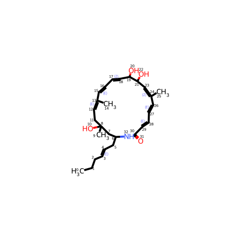 CCC/C=C/CC1CC(C)(O)C/C=C(C)/C=C/C=C\C(O)C(O)\C=C(C)/C=C/C=C/C(=O)N1